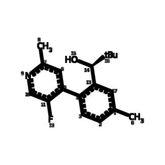 Cc1ccc(-c2cc(C)ncc2F)c([C@@H](O)C(C)(C)C)c1